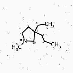 CCCC1(CC)CCN(C)C1